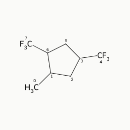 CC1CC(C(F)(F)F)CC1C(F)(F)F